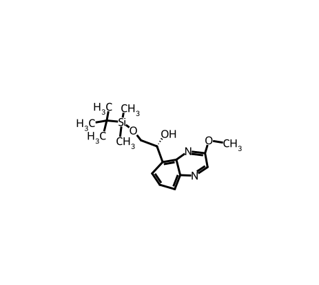 COc1cnc2cccc([C@@H](O)CO[Si](C)(C)C(C)(C)C)c2n1